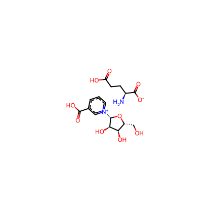 N[C@@H](CCC(=O)O)C(=O)[O-].O=C(O)c1ccc[n+]([C@@H]2O[C@H](CO)[C@@H](O)[C@H]2O)c1